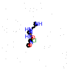 CC1(C)CC(CCCNc2cccc(SNC(=O)c3ccc(C4=CCCCO4)nc3Cl)n2)CN1